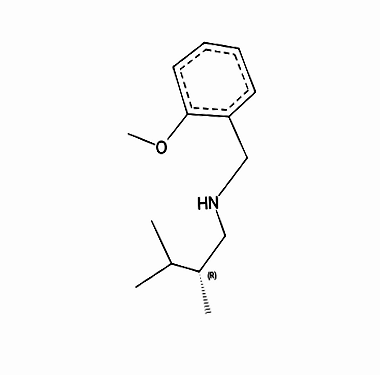 COc1ccccc1CNC[C@H](C)C(C)C